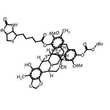 COc1cc2c(cc1OC(=O)OC(C)(C)C)CCN[C@]21CS[C@@H]2c3c(O)c(C)c4c(c3[C@H](COC1=O)N1C2[C@@H]2c3c(cc(C)c(OC)c3OC(=O)CCCCC3SCC5NC(=O)NC53)C[C@@H]([C@@H]1C#N)N2C)OCO4